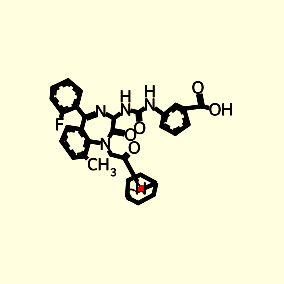 Cc1cccc2c1N(CC(=O)N1CC3CCC(CC3)C1)C(=O)C(NC(=O)Nc1cccc(C(=O)O)c1)N=C2c1ccccc1F